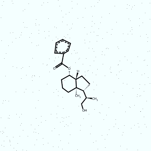 C[C@@H](CO)[C@H]1CC[C@H]2[C@@H](OC(=O)c3ccccc3)CCC[C@]12C